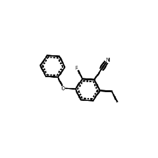 CCc1ccc(Oc2ccccc2)c(F)c1C#N